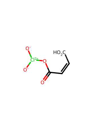 O=C(O)/C=C\C(=O)O[Cl+2]([O-])[O-]